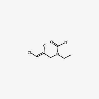 CCN(CC(Cl)=CCl)C(=O)Cl